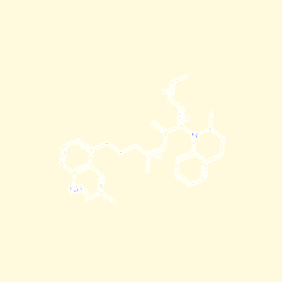 C=C(/C=C(/C)CCCc1cccc(N)c1C=C(C)C)/C(=C\C=C/C)N1c2ccccc2CCC1C